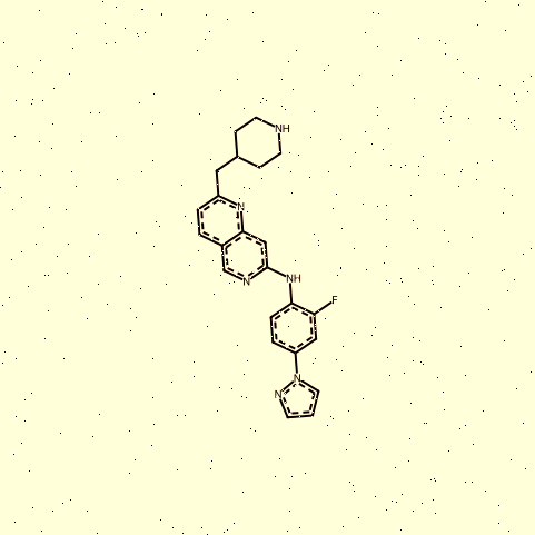 Fc1cc(-n2cccn2)ccc1Nc1cc2nc(CC3CCNCC3)ccc2cn1